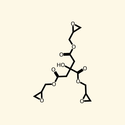 O=C(CC(O)(CC(=O)OCC1CO1)C(=O)OCC1CO1)OCC1CO1